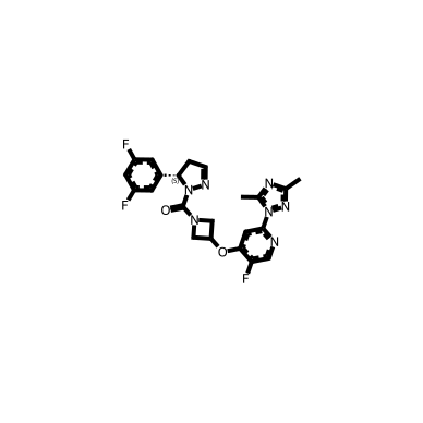 Cc1nc(C)n(-c2cc(OC3CN(C(=O)N4N=CC[C@H]4c4cc(F)cc(F)c4)C3)c(F)cn2)n1